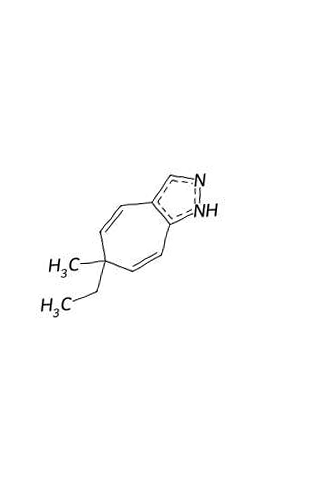 CCC1(C)C=Cc2cn[nH]c2C=C1